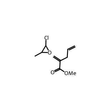 C=CCC(=C)C(=O)OC.CC1OC1Cl